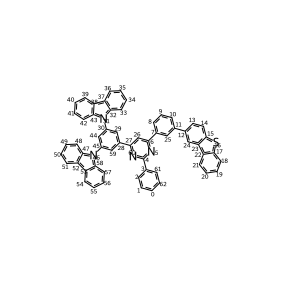 c1ccc(-c2nc(-c3cccc(-c4ccc5sc6ccccc6c5c4)c3)cc(-c3cc(-n4c5ccccc5c5ccccc54)cc(-n4c5ccccc5c5ccccc54)c3)n2)cc1